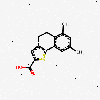 Cc1cc(C)c2c(c1)-c1sc(C(=O)O)cc1CC2